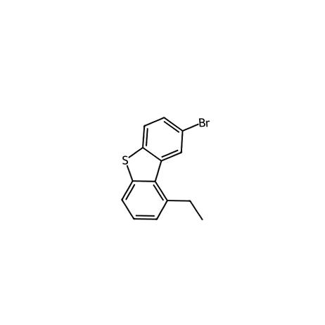 CCc1cccc2sc3ccc(Br)cc3c12